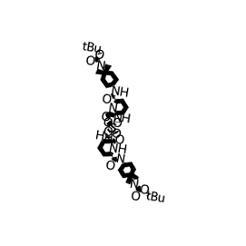 CC(C)(C)OC(=O)N1CC2(CCC(NC(=O)[C@@H]3CC[C@@H]4CN3C(=O)N4OS(=O)(=O)ON3C(=O)N4C[C@H]3CC[C@H]4C(=O)NC3CCC4(CC3)CN(C(=O)OC(C)(C)C)C4)CC2)C1